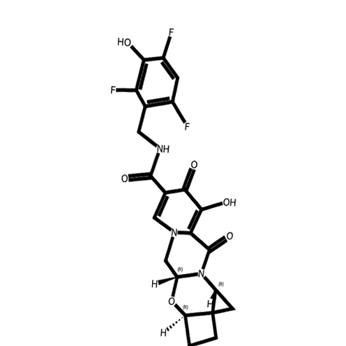 O=C(NCc1c(F)cc(F)c(O)c1F)c1cn2c(c(O)c1=O)C(=O)N1[C@@H](C2)O[C@@H]2CCC23C[C@@H]13